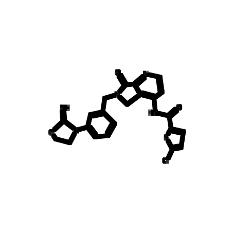 N=C1OCCN1c1cccc(CN2Cc3c(NC(=O)c4ccc(Cl)s4)ccnc3C2=O)c1